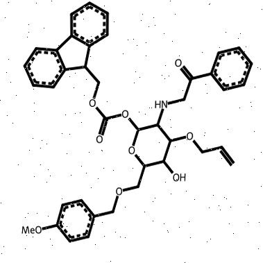 C=CCOC1C(O)C(COCc2ccc(OC)cc2)OC(OC(=O)OCC2c3ccccc3-c3ccccc32)C1NCC(=O)c1ccccc1